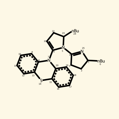 CCCCC1CCC(N2C(N3c4ccccc4Sc4ccccc43)=CCC2CCCC)=N1